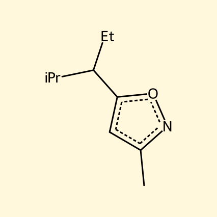 CCC(c1cc(C)no1)C(C)C